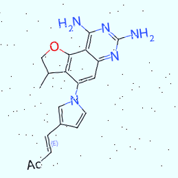 CC(=O)/C=C/c1ccn(-c2cc3nc(N)nc(N)c3c3c2C(C)CO3)c1